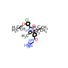 CC1CC(C)C2(C1)N=C(c1ccc(Cl)c(OCCC(C)(C)C)c1)C(=O)N2[C@H](CCC(C)(C)C)c1ccc(C(=O)NCc2nn[nH]n2)cc1